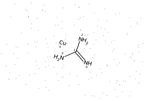 N=C(N)N.[Cu]